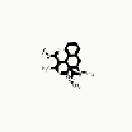 COC(=O)C1=C(C)N=C(C)C2(C(=O)OC)C(OC)Cc3ccccc3C12